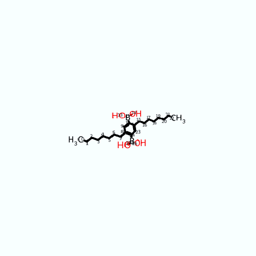 CCCCCCCCc1cc(B(O)O)c(CCCCCCCC)cc1B(O)O